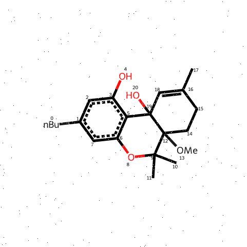 CCCCc1cc(O)c2c(c1)OC(C)(C)C1(OC)CCC(C)=CC21O